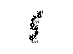 CC(Cc1cscc1-c1ncc(C(=O)Nc2cccc(O)c2)o1)c1ccc(-c2ccc(C(=O)Nc3cccc(O)c3)s2)cc1